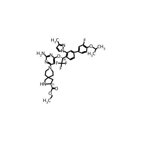 CCOC(=O)[C@@H]1CC2(CCN(c3cc(O[C@H](c4ccc(-c5ccc(OC(C)C)c(F)c5)cc4-n4ccc(C)n4)C(F)(F)F)nc(N)n3)CC2)CN1